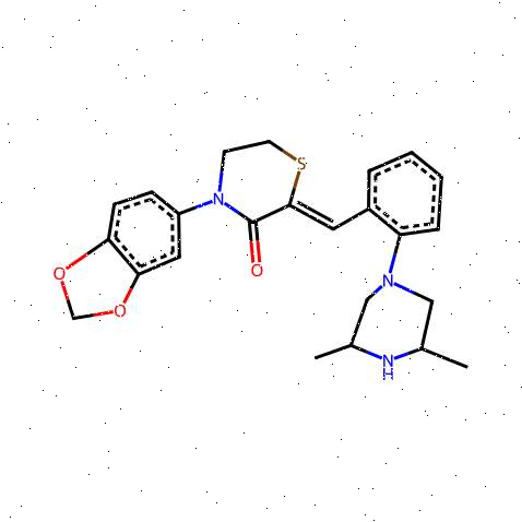 CC1CN(c2ccccc2C=C2SCCN(c3ccc4c(c3)OCO4)C2=O)CC(C)N1